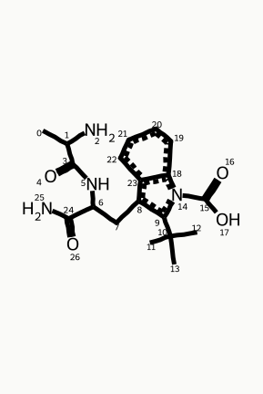 CC(N)C(=O)NC(Cc1c(C(C)(C)C)n(C(=O)O)c2ccccc12)C(N)=O